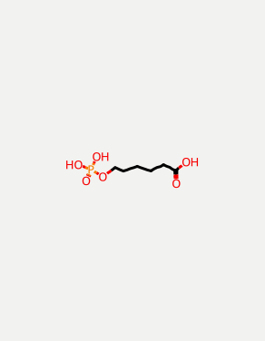 O=C(O)CCCCCOP(=O)(O)O